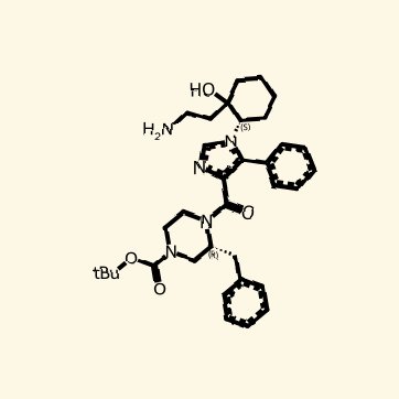 CC(C)(C)OC(=O)N1CCN(C(=O)c2ncn([C@H]3CCCCC3(O)CCN)c2-c2ccccc2)[C@H](Cc2ccccc2)C1